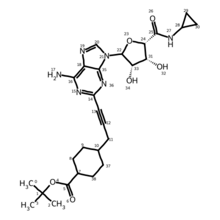 CC(C)(C)OC(=O)C1CCC(CC#Cc2nc(N)c3ncn(C4O[C@H](C(=O)NC5CC5)[C@H](O)[C@@H]4O)c3n2)CC1